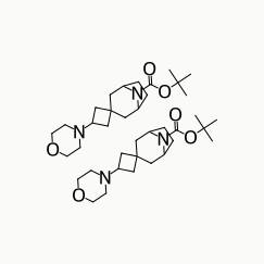 CC(C)(C)OC(=O)N1C2CCC1CC1(CC(N3CCOCC3)C1)C2.CC(C)(C)OC(=O)N1C2CCC1CC1(CC(N3CCOCC3)C1)C2